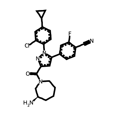 N#Cc1ccc(-c2cc(C(=O)N3CCCC[C@@H](N)C3)nn2-c2ccc(C3CC3)cc2Cl)cc1F